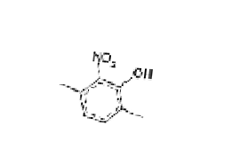 Cc1ccc(C)c([N+](=O)[O-])c1O